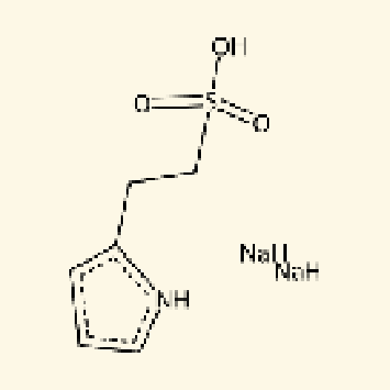 O=S(=O)(O)CCc1ccc[nH]1.[NaH].[NaH]